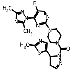 Cc1nc(C)n(-c2nc(N3CCN(C(=O)N4N=CCC4c4cnc(C)s4)CC3)ncc2F)n1